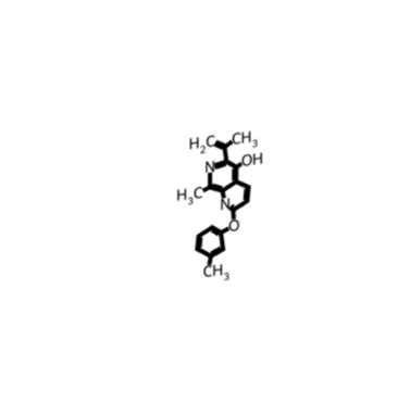 C=C(C)c1nc(C)c2nc(Oc3cccc(C)c3)ccc2c1O